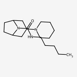 CCCCCNC(=O)N1C2CCC1CC(N1CCCCC1)C2